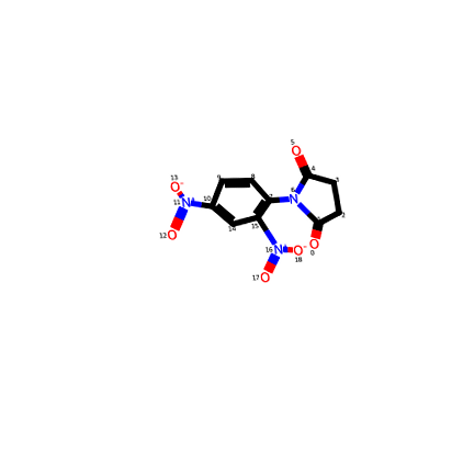 O=C1CCC(=O)N1c1ccc([N+](=O)[O-])cc1[N+](=O)[O-]